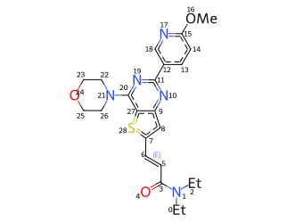 CCN(CC)C(=O)/C=C/c1cc2nc(-c3ccc(OC)nc3)nc(N3CCOCC3)c2s1